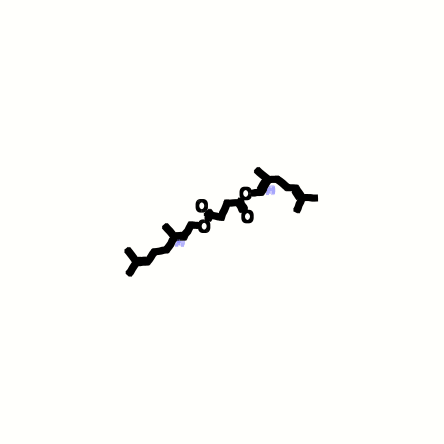 CC(C)=CCC/C(C)=C/COC(=O)CCC(=O)O/C=C(\C)CCC=C(C)C